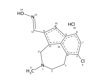 CN1CCc2c(Cl)ccc3sc(C=NO)c(c23)C1.Cl